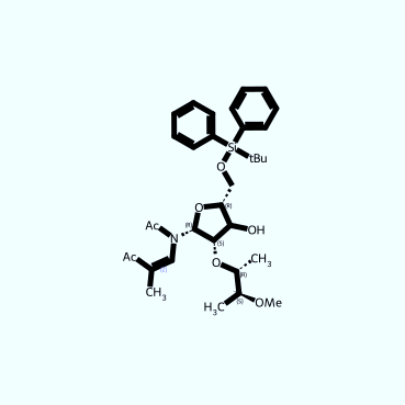 CO[C@@H](C)[C@@H](C)O[C@H]1C(O)[C@@H](CO[Si](c2ccccc2)(c2ccccc2)C(C)(C)C)O[C@H]1N(/C=C(/C)C(C)=O)C(C)=O